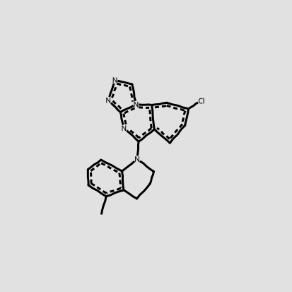 Cc1cccc2c1CCCN2c1nc2nncn2c2cc(Cl)ccc12